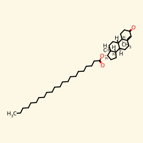 CCCCCCCCCCCCCCCCCCCCCC(=O)O[C@H]1CC[C@H]2[C@@H]3CCC4=CC(=O)CC[C@]4(C)[C@H]3CC[C@]12C